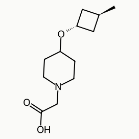 C[C@H]1C[C@H](OC2CCN(CC(=O)O)CC2)C1